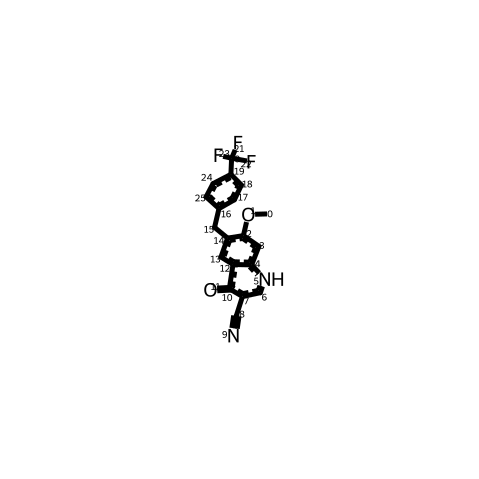 COc1cc2[nH]cc(C#N)c(=O)c2cc1Cc1ccc(C(F)(F)F)cc1